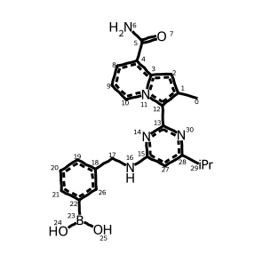 Cc1cc2c(C(N)=O)cccn2c1-c1nc(NCc2cccc(B(O)O)c2)cc(C(C)C)n1